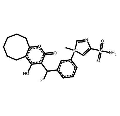 CC(C)C(c1cccc([N+]2(C)C=NC(S(N)(=O)=O)=C2)c1)c1c(O)c2c(oc1=O)CCCCCC2